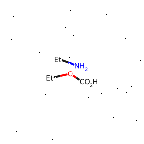 CCN.CCOC(=O)O